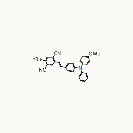 CCCCc1cc(C#N)c(C=Cc2ccc(N(c3ccccc3)c3ccc(OC)cc3)cc2)cc1C#N